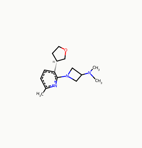 Cc1ccc([C@@H]2CCOC2)c(N2CC(N(C)C)C2)n1